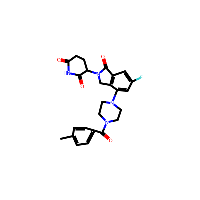 Cc1ccc(C(=O)N2CCN(c3cc(F)cc4c3CN(C3CCC(=O)NC3=O)C4=O)CC2)cc1